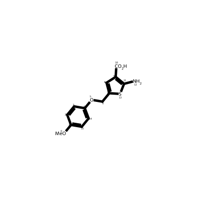 COc1ccc(OCc2cc(C(=O)O)c(N)s2)cc1